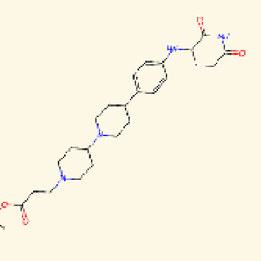 CC(C)(C)OC(=O)CCN1CCC(N2CCC(c3ccc(NC4CCC(=O)NC4=O)cc3)CC2)CC1